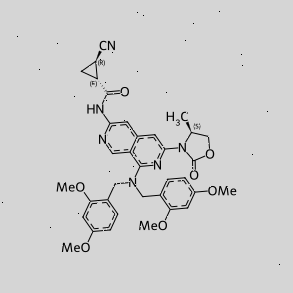 COc1ccc(CN(Cc2ccc(OC)cc2OC)c2nc(N3C(=O)OC[C@@H]3C)cc3cc(NC(=O)[C@@H]4C[C@H]4C#N)ncc23)c(OC)c1